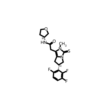 Cn1c(CC(=O)N[C@@H]2CCOC2)c2n(c1=S)C[C@H](c1c(F)ccc(F)c1F)C2